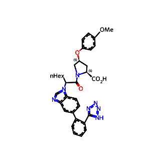 CCCCCCC(C(=O)N1C[C@@H](Oc2ccc(OC)cc2)C[C@H]1C(=O)O)n1cnc2cc(-c3ccccc3-c3nnn[nH]3)ccc21